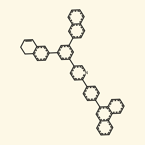 C1=Cc2cc(-c3cc(-c4ccc(-c5ccc(-c6cc7ccccc7c7ccccc67)cc5)nc4)cc(-c4ccc5ccccc5c4)c3)ccc2CC1